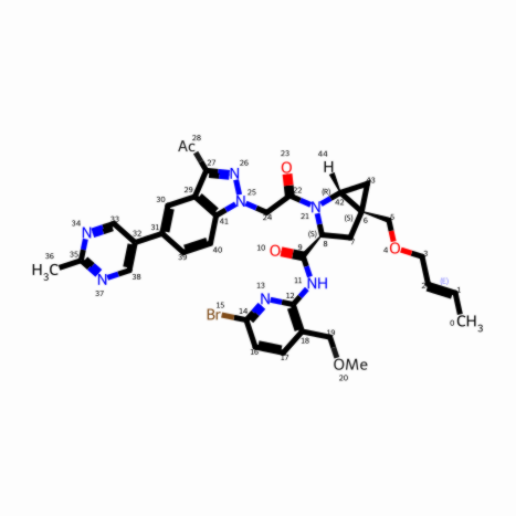 C/C=C/COC[C@@]12C[C@@H](C(=O)Nc3nc(Br)ccc3COC)N(C(=O)Cn3nc(C(C)=O)c4cc(-c5cnc(C)nc5)ccc43)[C@@H]1C2